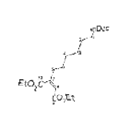 CCCCCCCCCCCCCCCC/C(=C/C(=O)OCC)C(=O)OCC